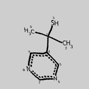 CC(C)(S)c1cncnc1